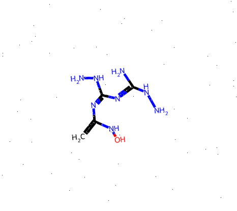 C=C(/N=C(\N=C(/N)NN)NN)NO